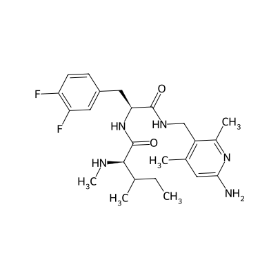 CCC(C)[C@@H](NC)C(=O)N[C@@H](Cc1ccc(F)c(F)c1)C(=O)NCc1c(C)cc(N)nc1C